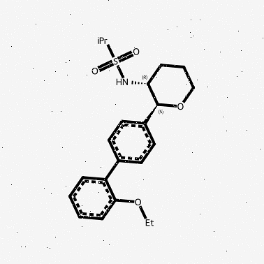 CCOc1ccccc1-c1ccc([C@@H]2OCCC[C@H]2NS(=O)(=O)C(C)C)cc1